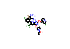 C=CC(=O)N1CC[C@@H](Oc2nc(OCC34CCCN3C[C@H](F)C4)nc3nc(-c4ccc(F)c5sc(N)c(C#N)c45)c(C(F)(F)F)cc23)C1